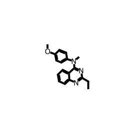 CCc1nc(N(C)c2ccc(OC)cc2)c2ccccc2n1